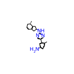 Cc1ccc(N)cc1-c1cnc(NC2CC3=C(C2)[C@H](C)CC=C3)nc1